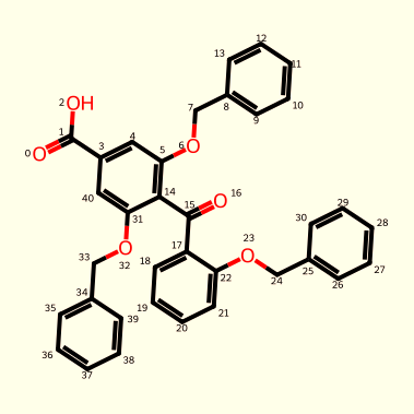 O=C(O)c1cc(OCc2ccccc2)c(C(=O)c2ccccc2OCc2ccccc2)c(OCc2ccccc2)c1